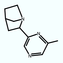 Cc1cncc(C2CC3CCN2C3)n1